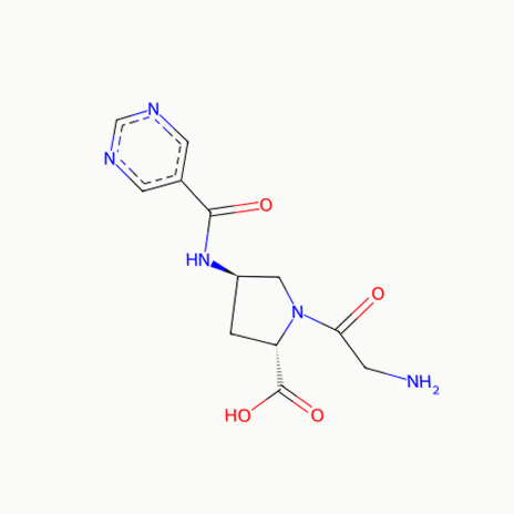 NCC(=O)N1C[C@H](NC(=O)c2cncnc2)C[C@H]1C(=O)O